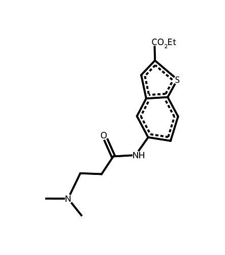 CCOC(=O)c1cc2cc(NC(=O)CCN(C)C)ccc2s1